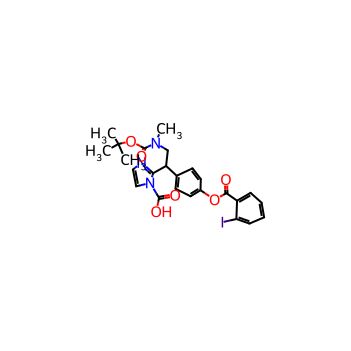 CN(CC(c1ccc(OC(=O)c2ccccc2I)cc1)c1nccn1C(=O)O)C(=O)OC(C)(C)C